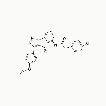 COc1ccc(C2=C3C(=O)c4c(NC(=O)Cc5ccc(Cl)cc5)cccc4C3N=N2)cc1